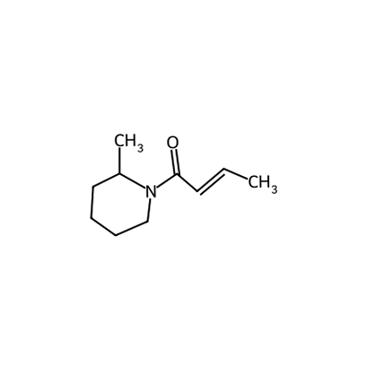 CC=CC(=O)N1CCCCC1C